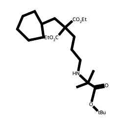 CCOC(=O)C(CCCNC(C)(C)C(=O)OC(C)(C)C)(CC1CCCCC1)C(=O)OCC